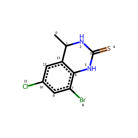 CC1NC(=S)Nc2c(Br)cc(Cl)cc21